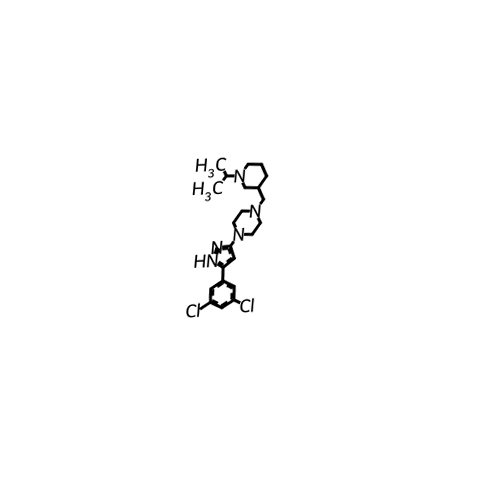 CC(C)N1CCCC(CN2CCN(c3cc(-c4cc(Cl)cc(Cl)c4)[nH]n3)CC2)C1